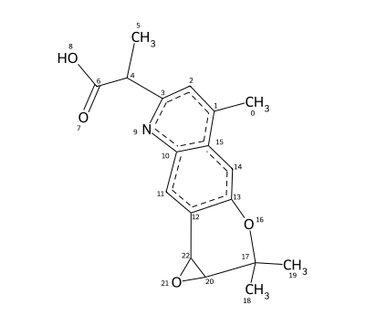 Cc1cc(C(C)C(=O)O)nc2cc3c(cc12)OC(C)(C)C1OC31